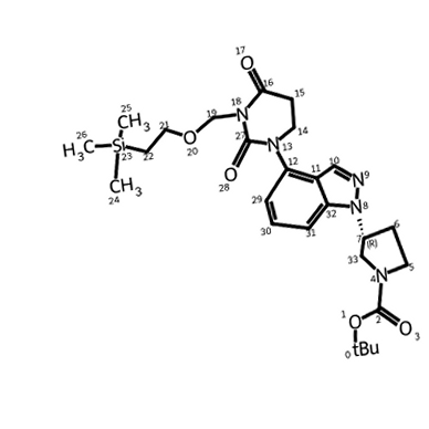 CC(C)(C)OC(=O)N1CC[C@@H](n2ncc3c(N4CCC(=O)N(COCC[Si](C)(C)C)C4=O)cccc32)C1